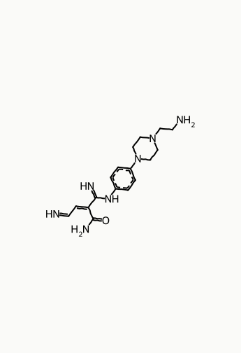 N=C/C=C(/C(=N)Nc1ccc(N2CCN(CCN)CC2)cc1)C(N)=O